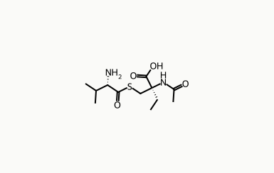 CC[C@@](CSC(=O)[C@@H](N)C(C)C)(NC(C)=O)C(=O)O